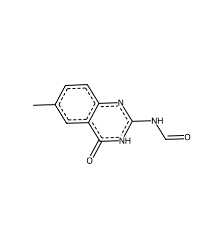 Cc1ccc2nc(NC=O)[nH]c(=O)c2c1